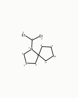 CCC(CC)N1CSCC12CCCC2